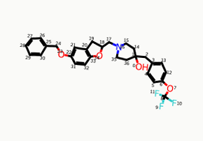 OC1(Cc2ccc(OC(F)(F)F)cc2)CCN(CC2Cc3cc(OCc4ccccc4)ccc3O2)CC1